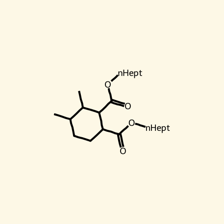 CCCCCCCOC(=O)C1CCC(C)C(C)C1C(=O)OCCCCCCC